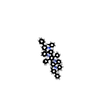 Cc1ccccc1N(c1cc(-c2ccccc2)ccc1C)c1ccc2c3c(-c4ccccc4)c4c(c(-c5ccccc5)c3n3c5ccccc5c1c23)c1ccc(N(c2ccccc2C)c2cc(-c3ccccc3)ccc2C)c2c3ccccc3n4c12